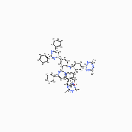 Cc1nc(C)nc(-c2ccc3c(c2)c2cc(-c4nc(C)nc(C)n4)ccc2n3-c2ccc(-c3cc(-c4ccccc4)nc(-c4ccccc4)n3)cc2-c2nc(-c3ccccc3)cc(-c3ccccc3)n2)n1